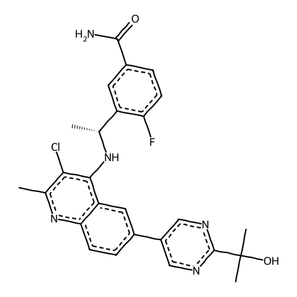 Cc1nc2ccc(-c3cnc(C(C)(C)O)nc3)cc2c(N[C@H](C)c2cc(C(N)=O)ccc2F)c1Cl